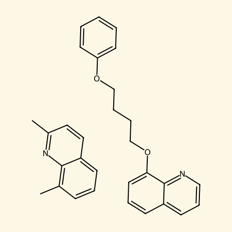 Cc1ccc2cccc(C)c2n1.c1ccc(OCCCCOc2cccc3cccnc23)cc1